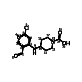 O=Cc1cnc(Cl)cc1NC1CCN(C(=O)O)CC1